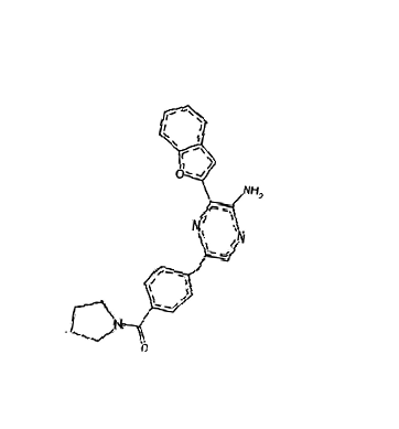 Nc1ncc(-c2ccc(C(=O)N3C[CH]CC3)cc2)nc1-c1cc2ccccc2o1